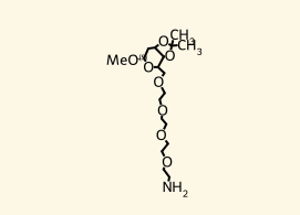 CO[C@@H]1CC2OC(C)(C)OC2C(COCCOCCOCCOCCN)O1